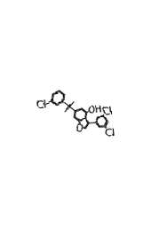 CC(C)(c1cccc(Cl)c1)c1cc(O)c2c(-c3cc(Cl)cc(Cl)c3)coc2c1